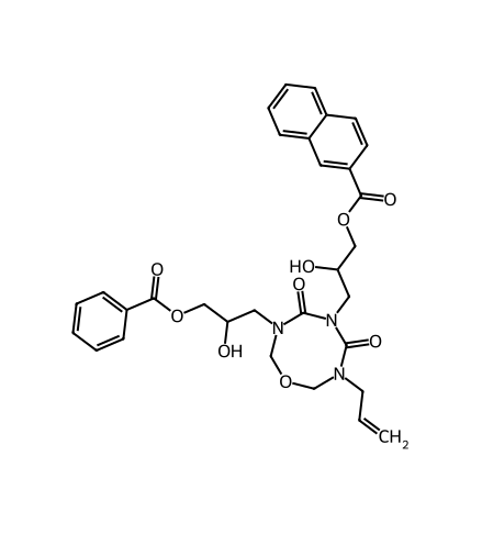 C=CCN1COCN(CC(O)COC(=O)c2ccccc2)C(=O)N(CC(O)COC(=O)c2ccc3ccccc3c2)C1=O